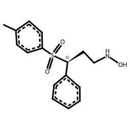 Cc1ccc(S(=O)(=O)[C@@H](CCNO)c2ccccc2)cc1